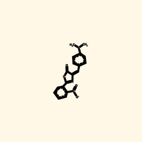 CN(C)c1ccc(C=C2N=C(c3ccccc3[N+](=O)[O-])OC2=O)cc1